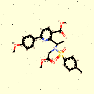 COC(=O)CN(C(C)c1nc(-c2ccc(OC)cc2)ccc1C(=O)OC)S(=O)(=O)c1ccc(C)cc1